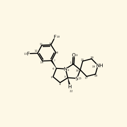 O=C1N2[C@@H](CC[C@H]2c2cc(F)cc(F)c2)SC12CCNCC2